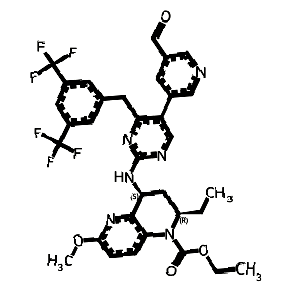 CCOC(=O)N1c2ccc(OC)nc2[C@@H](Nc2ncc(-c3cncc(C=O)c3)c(Cc3cc(C(F)(F)F)cc(C(F)(F)F)c3)n2)C[C@H]1CC